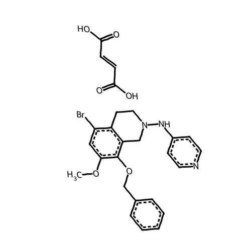 COc1cc(Br)c2c(c1OCc1ccccc1)CN(Nc1ccncc1)CC2.O=C(O)C=CC(=O)O